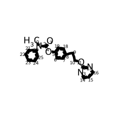 CN(C(=O)Oc1ccc(CCOc2ncccn2)cc1)c1ccccc1